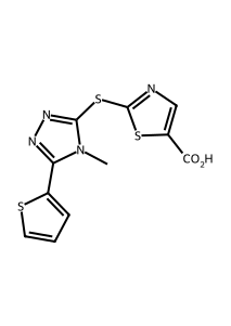 Cn1c(Sc2ncc(C(=O)O)s2)nnc1-c1cccs1